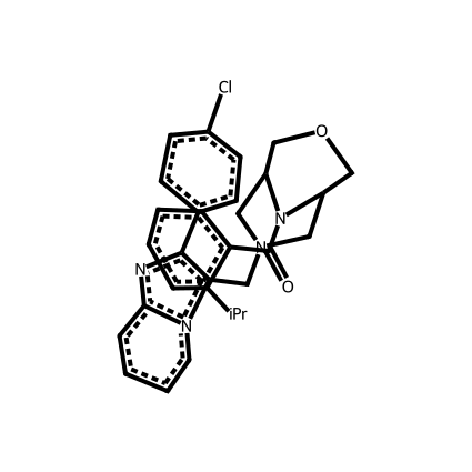 CC(C)c1ccccc1C(=O)N1C2COCC1CN(Cc1c(-c3ccc(Cl)cc3)nc3ccccn13)C2